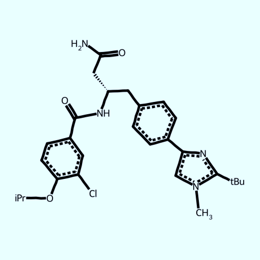 CC(C)Oc1ccc(C(=O)N[C@H](CC(N)=O)Cc2ccc(-c3cn(C)c(C(C)(C)C)n3)cc2)cc1Cl